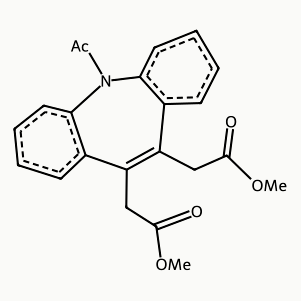 COC(=O)CC1=C(CC(=O)OC)c2ccccc2N(C(C)=O)c2ccccc21